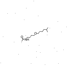 CC(=O)NCCCCOCCCCC(C)C